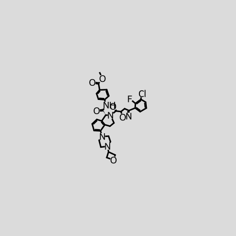 COC(=O)c1ccc(NC(=O)[C@H]2c3cccc(N4CCN(C5COC5)CC4)c3CCN2C(=O)C2CC(c3cccc(Cl)c3F)=NO2)cc1